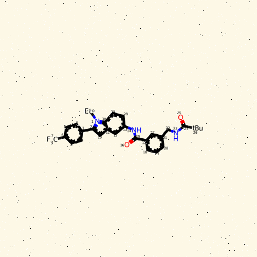 CCn1c(-c2ccc(C(F)(F)F)cc2)cc2cc(NC(=O)c3cccc(CNC(=O)C(C)(C)C)c3)ccc21